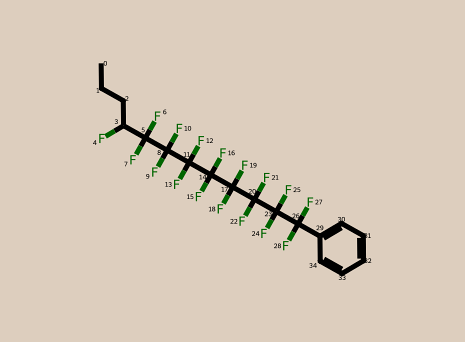 CCCC(F)C(F)(F)C(F)(F)C(F)(F)C(F)(F)C(F)(F)C(F)(F)C(F)(F)C(F)(F)c1ccccc1